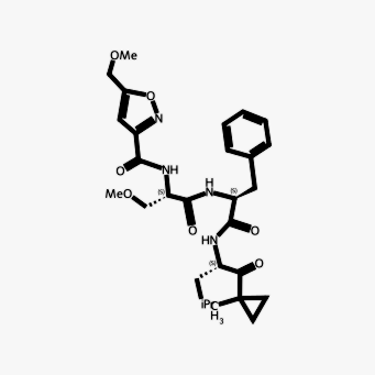 COCc1cc(C(=O)N[C@@H](COC)C(=O)N[C@@H](Cc2ccccc2)C(=O)N[C@@H](CC(C)C)C(=O)C2(C)CC2)no1